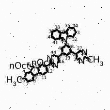 CCCCCCCCC1(CCCCCCCC)c2cc(C)ccc2-c2ccc(-c3ncc(-c4cc(-c5cnc(C)nc5)cc(-n5c6ccccc6c6ccccc65)c4)cn3)cc21